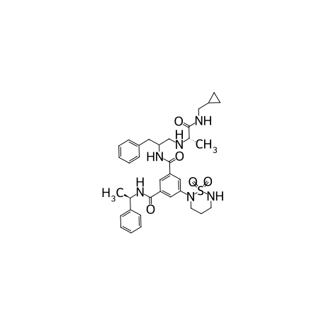 C[C@H](NCC(Cc1ccccc1)NC(=O)c1cc(C(=O)N[C@H](C)c2ccccc2)cc(N2CCCNS2(=O)=O)c1)C(=O)NCC1CC1